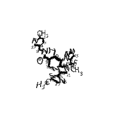 Cc1ccc(CNC(=O)c2cc(-n3nncc3C(C)(F)F)c3ncc(-c4ncc(C)s4)n3c2)cn1